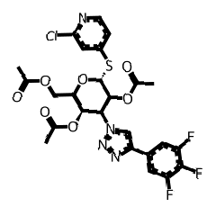 CC(=O)OCC1O[C@H](Sc2ccnc(Cl)c2)C(OC(C)=O)C(n2cc(-c3cc(F)c(F)c(F)c3)nn2)[C@H]1OC(C)=O